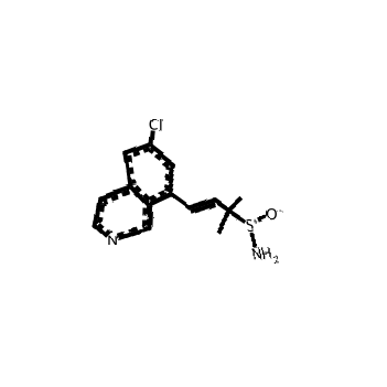 CC(C)(C=Cc1cc(Cl)cc2ccncc12)[S+](N)[O-]